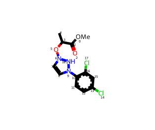 COC(=O)C(C)ON1C=CN(c2ccc(Cl)cc2Cl)N1